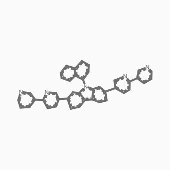 c1cncc(-c2ccc(-c3ccc4c5ccc(-c6ccc(-c7cccnc7)nc6)cc5n(-c5cccc6ccccc56)c4c3)cn2)c1